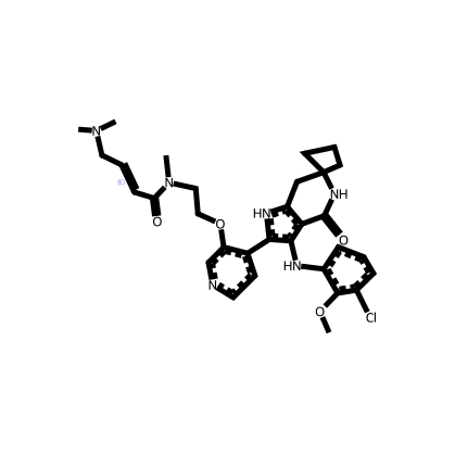 COc1c(Cl)cccc1Nc1c(-c2ccncc2OCCN(C)C(=O)/C=C/CN(C)C)[nH]c2c1C(=O)NC1(CCC1)C2